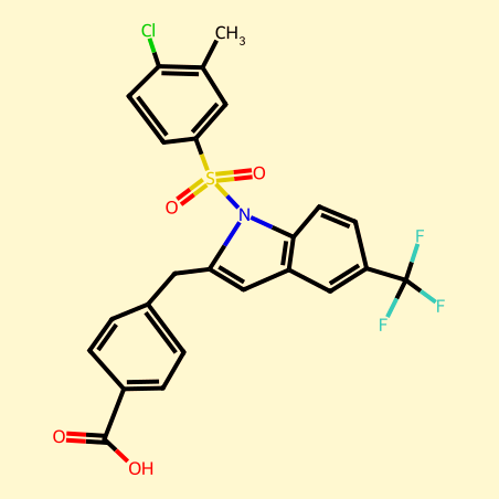 Cc1cc(S(=O)(=O)n2c(Cc3ccc(C(=O)O)cc3)cc3cc(C(F)(F)F)ccc32)ccc1Cl